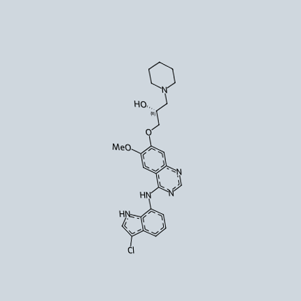 COc1cc2c(Nc3cccc4c(Cl)c[nH]c34)ncnc2cc1OC[C@H](O)CN1CCCCC1